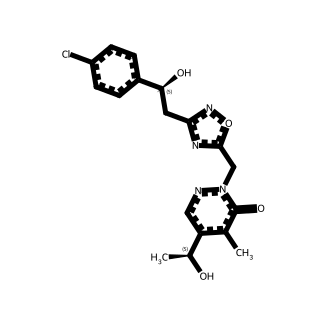 Cc1c([C@H](C)O)cnn(Cc2nc(C[C@H](O)c3ccc(Cl)cc3)no2)c1=O